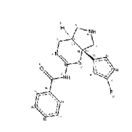 O=C(NC1=NC[C@H]2CNC[C@]2(c2ccc(F)s2)S1)c1ccccc1